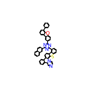 c1ccc(-c2cccc3c2oc2ccc(-c4nc(-c5ccc6ccccc6c5)nc(-c5cccc6sc7cc(-c8ccccc8-c8cnccn8)ccc7c56)n4)cc23)cc1